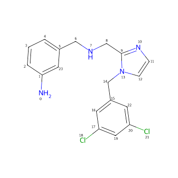 Nc1cccc(CNCc2nccn2Cc2cc(Cl)cc(Cl)c2)c1